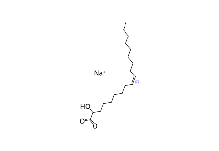 CCCCCCCC/C=C\CCCCCCC(O)C(=O)[O-].[Na+]